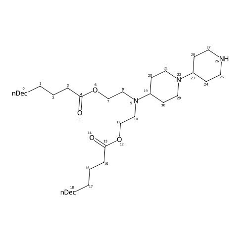 CCCCCCCCCCCCCC(=O)OCCN(CCOC(=O)CCCCCCCCCCCCC)C1CCN(C2CCNCC2)CC1